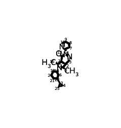 Cc1c2cnn(-c3ccccn3)c(=O)c2c(C)n1-c1cccc(C2CC2)c1